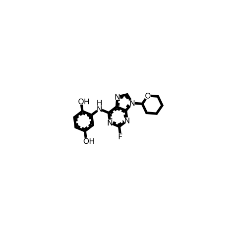 Oc1ccc(O)c(Nc2nc(F)nc3c2ncn3C2CCCCO2)c1